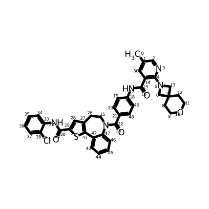 Cc1cnc(N2CC3(CCOCC3)C2)c(C(=O)Nc2ccc(C(=O)N3CCc4cc(C(=O)Nc5ccccc5Cl)sc4-c4ccccc43)cc2)c1